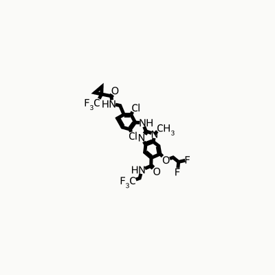 Cn1c(Nc2c(Cl)ccc(CNC(=O)C3(C(F)(F)F)CC3)c2Cl)nc2cc(C(=O)NCC(F)(F)F)c(OCC(F)F)cc21